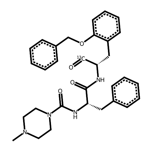 CN1CCN(C(=O)N[C@@H](Cc2ccccc2)C(=O)N[C@@H](Cc2ccccc2OCc2ccccc2)[13CH]=O)CC1